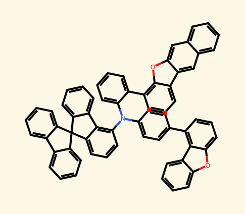 c1ccc(N(c2ccc(-c3cccc4oc5ccccc5c34)cc2)c2cccc3c2-c2ccccc2C32c3ccccc3-c3ccccc32)c(-c2cccc3c2oc2cc4ccccc4cc23)c1